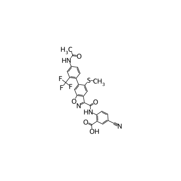 CSc1cc2c(C(=O)Nc3ccc(C#N)cc3C(=O)O)noc2cc1-c1ccc(NC(C)=O)cc1C(F)(F)F